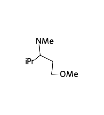 CNC(CCOC)C(C)C